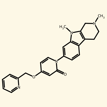 CN1CCc2c(n(C)c3cc(-n4ccc(OCc5ccccn5)cc4=O)ccc23)C1